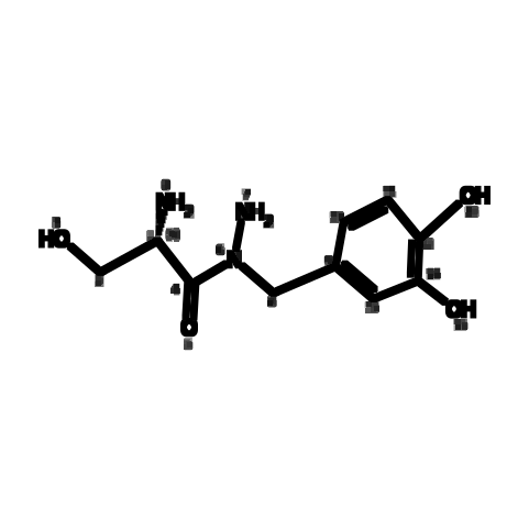 N[C@@H](CO)C(=O)N(N)Cc1ccc(O)c(O)c1